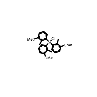 COc1cccc([Si](Cl)(c2cccc(OC)c2C)c2cccc(OC)c2C)c1C